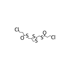 O=C(CCCl)SCC1CSC(CSC(=O)CCCl)S1